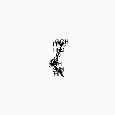 CCCNC(=O)CNC(=O)CCC(NC(=O)COCCOCCNC(=O)CCC(NC=O)C(=O)O)C(=O)O